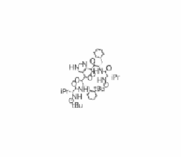 CC(C)[C@H](NOC(C)(C)C)C(=O)N[C@@H](Cc1ccccc1)C(=O)C(=O)C1=C(C(=O)C(=O)[C@H](Cc2ccccc2)NC(=O)[C@@H](NOC(C)(C)C)C(C)C)N=CNC1